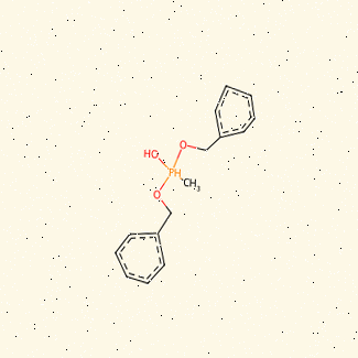 C[PH](O)(OCc1ccccc1)OCc1ccccc1